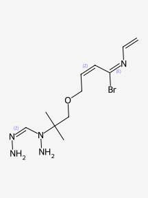 C=C/N=C(Br)\C=C/COCC(C)(C)N(N)/C=N\N